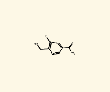 NC(=O)c1ccc(CO)c(F)c1